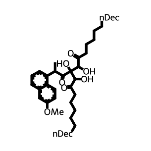 CCCCCCCCCCCCCCCC(=O)C(O)C(O)(C(=O)C(C)c1cccc2cc(OC)ccc12)C(O)C(=O)CCCCCCCCCCCCCCC